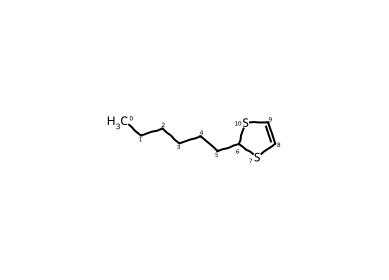 CCCCCCC1SC=CS1